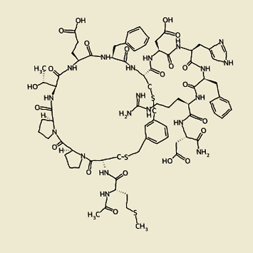 CSCC[C@H](NC(C)=O)C(=O)N[C@H]1CSCc2cccc(c2)CSC[C@@H](C(=O)N[C@@H](CC(=O)O)C(=O)N[C@@H](Cc2c[nH]cn2)C(=O)N[C@@H](Cc2ccccc2)C(=O)N[C@H](CCCNC(=N)N)C(=O)N[C@@H](CC(=O)O)C(N)=O)NC(=O)[C@H](Cc2ccccc2)NC(=O)[C@H](CCC(=O)O)NC(=O)[C@H]([C@@H](C)O)NC(=O)[C@@H]2CCCN2C(=O)[C@@H]2CCCN2C1=O